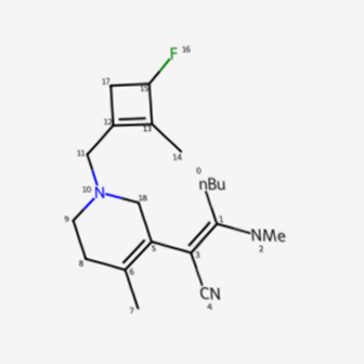 CCCC/C(NC)=C(/C#N)C1=C(C)CCN(CC2=C(C)C(F)C2)C1